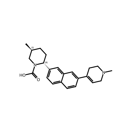 C[C@H]1CC[C@H](c2ccc3ccc(C4=CCN(C)CC4)cc3c2)N(C(=O)O)C1